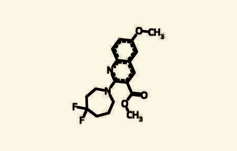 COC(=O)c1cc2cc(OC)ccc2nc1N1CCCC(F)(F)CC1